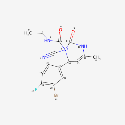 CCNC(=O)[N+]1(C#N)C(=O)NC(C)=CC1c1ccc(F)c(Br)c1